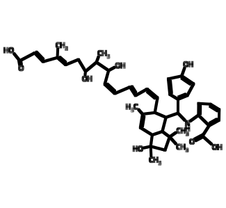 CC1=CC2C(C(C(Nc3ccccc3C(=O)O)c3ccc(O)cc3)C1\C=C/C=C/C=C\C(O)C(C)C(O)C/C=C(C)/C=C/C(=O)O)C(C)(C)CC2(C)O